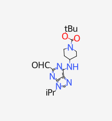 CC(C)n1cnc2c(NC3CCN(C(=O)OC(C)(C)C)CC3)nc(C=O)nc21